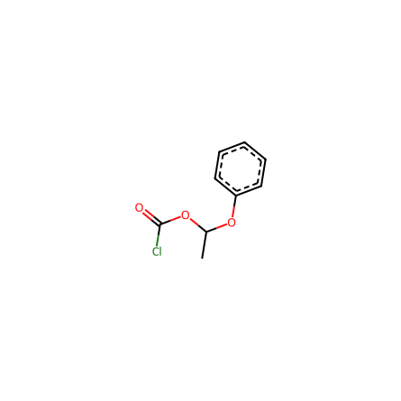 CC(OC(=O)Cl)Oc1ccccc1